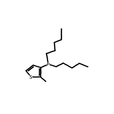 CCCCCP(CCCCC)c1ccsc1C